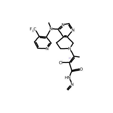 C=NNC(=O)/C(Cl)=C(\C)N1CCc2c(ncnc2N(C)c2cnccc2C(F)(F)F)C1